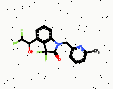 O=C1N(Cc2cccc(C(F)(F)F)n2)c2cccc(C(O)C(F)F)c2C1(F)F